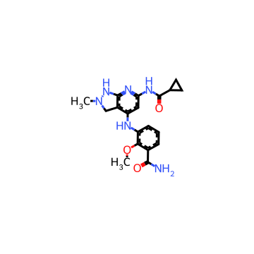 COc1c(Nc2cc(NC(=O)C3CC3)nc3c2CN(C)N3)cccc1C(N)=O